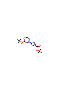 CC(C)(C)OC(=O)N1CC(N2CCO[C@@H](OC(C)(C)C)C2)C1